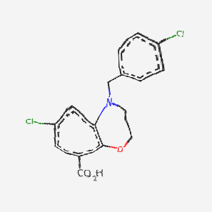 O=C(O)c1cc(Cl)cc2c1OCCN2Cc1ccc(Cl)cc1